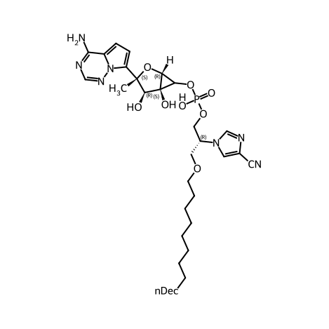 CCCCCCCCCCCCCCCCCCOC[C@H](COP(=O)(O)OC1[C@H]2O[C@@](C)(c3ccc4c(N)ncnn34)[C@H](O)[C@@]12O)n1cnc(C#N)c1